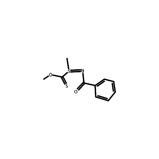 COC(=S)S(C)=NC(=O)c1ccccc1